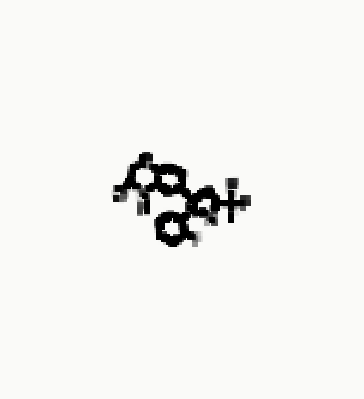 O=C1COc2ccc(-c3cc(C(F)(F)F)nn3-c3ccccc3F)cc2N1